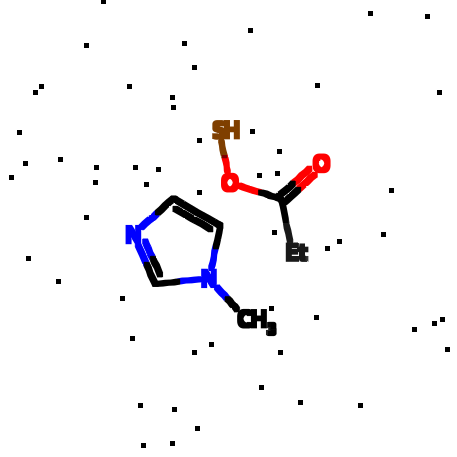 CCC(=O)OS.Cn1ccnc1